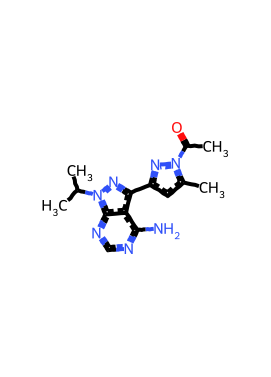 CC(=O)n1nc(-c2nn(C(C)C)c3ncnc(N)c23)cc1C